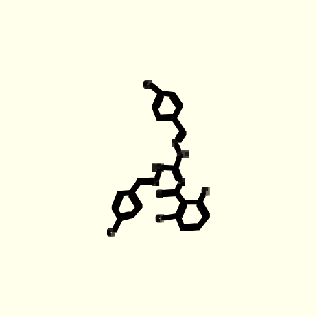 O=C(N=C(NN=Cc1ccc(Cl)cc1)NN=Cc1ccc(Cl)cc1)c1c(Cl)cccc1Cl